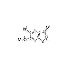 COc1cc2c(cc1Br)C(=O)OC2